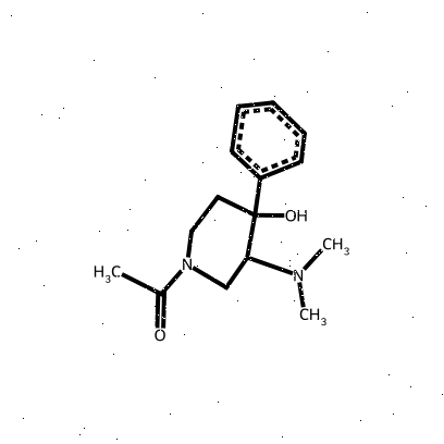 CC(=O)N1CCC(O)(c2ccccc2)C(N(C)C)C1